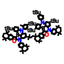 Cc1cc(C(C)(C)C)ccc1N1c2ccc(C(C)(C)C)cc2B2c3c1cc(C(C)(C)CCC1(C)CCC(C)(C)c4cc5oc6c(c5cc41)B1c4cc(C(C)(C)C)ccc4N(c4ccc(C(C)(C)C)cc4)c4cc(C(C)(C)C)cc(c41)N6c1ccc4c(c1)C(C)(C)CCC4(C)C)cc3N(c1ccc3c(c1)C(C)(C)CCC3(C)C)c1oc3cc4c(cc3c12)C(C)(C)CCC4(C)C